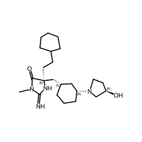 CN1C(=N)N[C@](CCC2CCCCC2)(C[C@H]2CCC[C@@H](N3CC[C@@H](O)C3)C2)C1=O